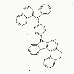 c1ccc2c(c1)CCc1ccc3c(c1-2)c1ccccc1n3-c1ccc(-n2c3ccccc3c3ccc4ccccc4c32)cc1